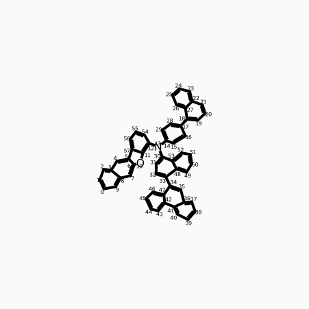 c1ccc2cc3c(cc2c1)oc1c(N(c2ccc(-c4cccc5ccccc45)cc2)c2ccc(-c4cc5ccccc5c5ccccc45)c4ccccc24)cccc13